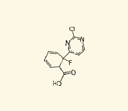 O=C(O)C1C=CC=CC1(F)c1ccnc(Cl)n1